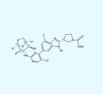 COC(=O)N1CC[C@@H](c2nc3c(F)cc(-c4nc(N[C@@H]5[C@@H](C)[C@H]6OC[C@H](O6)[C@H]5O)ncc4Cl)cc3n2C(C)C)C1